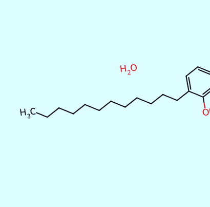 CCCCCCCCCCCCc1ccccc1O.O